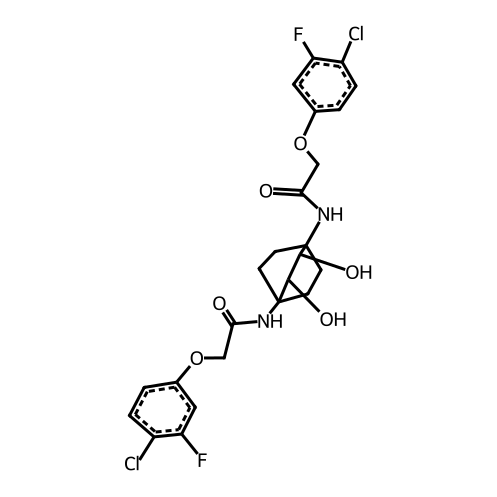 O=C(COc1ccc(Cl)c(F)c1)NC12CCC(NC(=O)COc3ccc(Cl)c(F)c3)(CC1)C(O)C2O